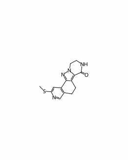 CSc1cc2c(cn1)CCc1c-2nn2c1C(=O)NCC2